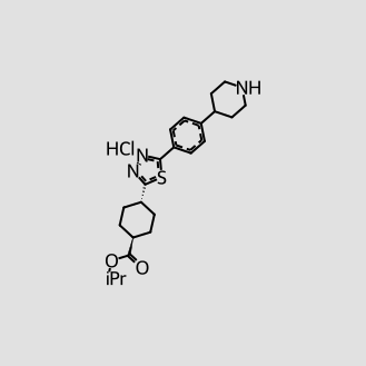 CC(C)OC(=O)[C@H]1CC[C@H](c2nnc(-c3ccc(C4CCNCC4)cc3)s2)CC1.Cl